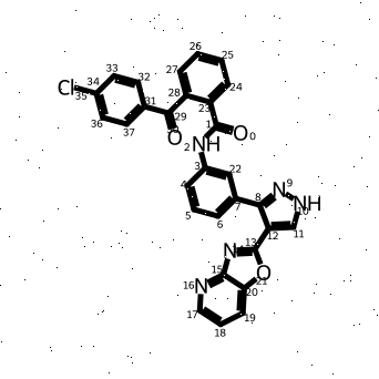 O=C(Nc1cccc(-c2n[nH]cc2-c2nc3ncccc3o2)c1)c1ccccc1C(=O)c1ccc(Cl)cc1